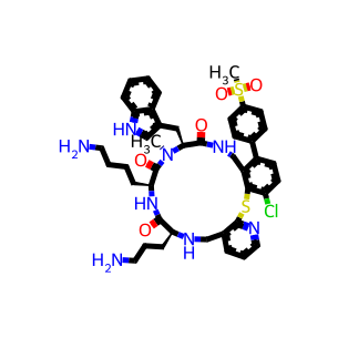 CN1C(=O)[C@H](CCCCN)NC(=O)[C@H](CCCN)NCc2cccnc2Sc2c(Cl)ccc(-c3ccc(S(C)(=O)=O)cc3)c2CNC(=O)[C@@H]1Cc1c[nH]c2ccccc12